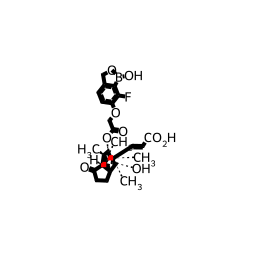 C[C@@H]1CC[C@@]23CCC(=O)[C@H]2[C@]1(C)[C@H](OC(=O)COc1ccc2c(c1F)B(O)OC2)C[C@@](C)(/C=C/C(=O)O)[C@@H](O)[C@@H]3C